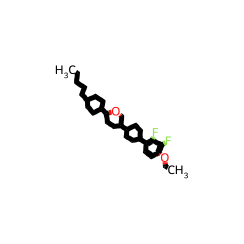 CCCCCC1CCC(C2CCC(C3CCC(c4ccc(OCC)c(F)c4F)CC3)CO2)CC1